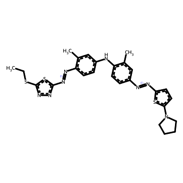 CCSc1nnc(/N=N/c2ccc(Nc3ccc(/N=N/c4ccc(N5CCCC5)s4)cc3C)cc2C)s1